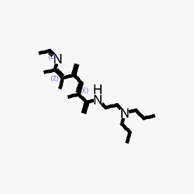 C=C(/C=C(\C)C(=C)NCCN(CCC)CCC)/C(C)=C(C)\N=C/C